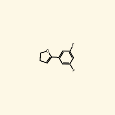 Fc1cc(F)cc(C2=CCCO2)c1